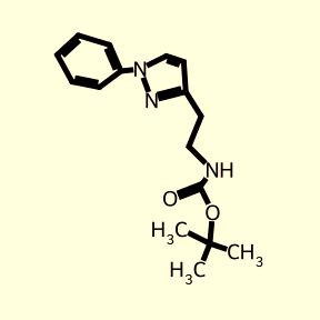 CC(C)(C)OC(=O)NCCc1ccn(-c2ccccc2)n1